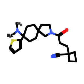 CN(C)C1(c2cccs2)CCC2(CCN(C(=O)CCC3(C#N)CCC3)C2)CC1